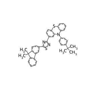 CC(C)(C)c1ccc(N2c3ccccc3Sc3ccc(-c4nsc(-c5ccc6c(c5)-c5ccccc5C6(C)C)n4)cc32)cc1